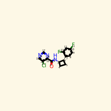 O=C(N[C@H]1CC[C@H]1c1ccc(F)cc1F)c1ncncc1Cl